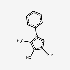 CCCc1nn(-c2ccccc2)c(C)c1O